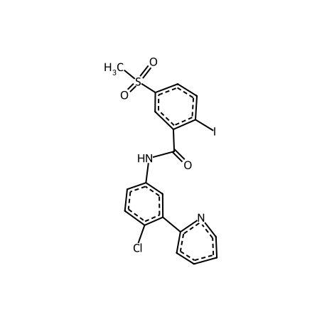 CS(=O)(=O)c1ccc(I)c(C(=O)Nc2ccc(Cl)c(-c3ccccn3)c2)c1